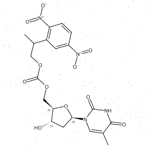 Cc1cn([C@H]2C[C@H](O)[C@@H](COC(=O)OCC(C)c3cc([N+](=O)[O-])ccc3[N+](=O)[O-])O2)c(=O)[nH]c1=O